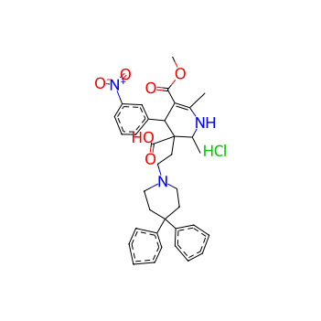 COC(=O)C1=C(C)NC(C)C(CCN2CCC(c3ccccc3)(c3ccccc3)CC2)(C(=O)O)C1c1cccc([N+](=O)[O-])c1.Cl